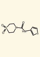 O=C(Nc1ccsc1)N1CCS(=O)(=O)CC1